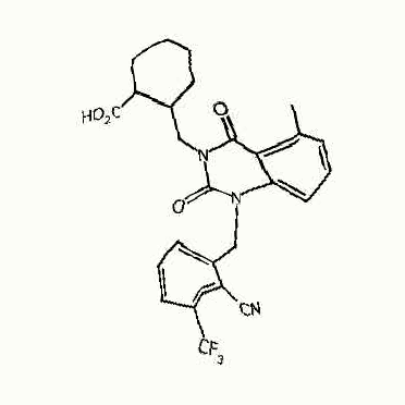 Cc1cccc2c1c(=O)n(CC1CCCCC1C(=O)O)c(=O)n2Cc1cccc(C(F)(F)F)c1C#N